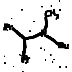 CCC(C)N(C)C(C(C)C)C(C)C